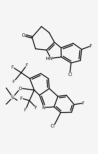 C[Si](C)(C)OC1(C(F)(F)F)C(C(F)(F)F)=CC=C2C1=Nc1c(Cl)cc(F)cc12.O=C1CCc2c([nH]c3c(Cl)cc(F)cc23)C1